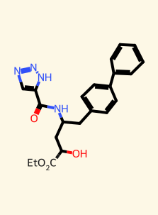 CCOC(=O)C(O)CC(Cc1ccc(-c2ccccc2)cc1)NC(=O)c1cnn[nH]1